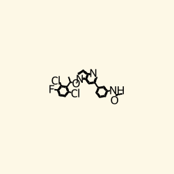 CC(=O)Nc1cccc(-c2cnc3ccn(OC(C)c4c(Cl)ccc(F)c4Cl)c3c2)c1